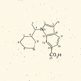 Cc1cn(C(C)C2CCCCC2)c2cc(C(=O)O)ccc12